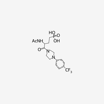 CC(=O)NC(CCP(=O)(O)O)C(=O)N1CCN(c2ccc(C(F)(F)F)cc2)CC1